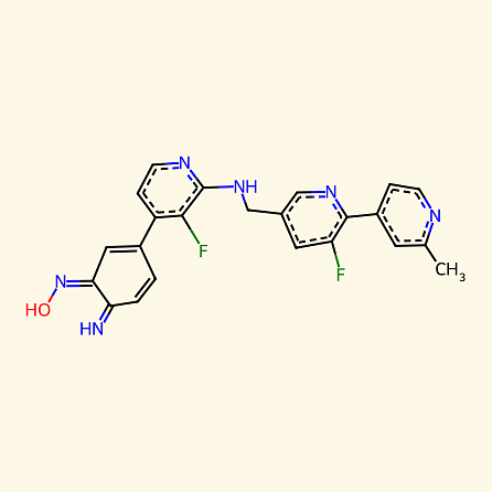 Cc1cc(-c2ncc(CNc3nccc(C4=C/C(=N/O)C(=N)C=C4)c3F)cc2F)ccn1